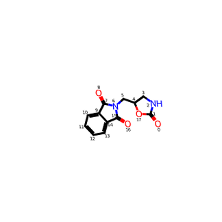 O=C1NCC(CN2C(=O)c3ccccc3C2=O)O1